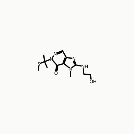 CSC(C)(C)n1ncc2nc(NCCO)n(C)c2c1=O